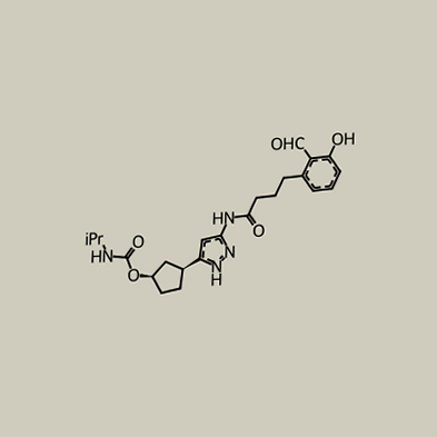 CC(C)NC(=O)O[C@@H]1CC[C@H](c2cc(NC(=O)CCCc3cccc(O)c3C=O)n[nH]2)C1